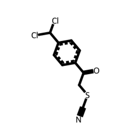 N#CSCC(=O)c1ccc(C(Cl)Cl)cc1